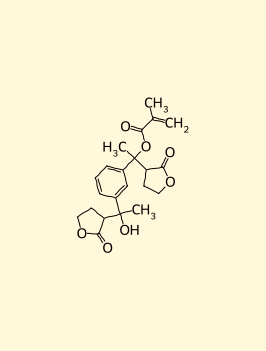 C=C(C)C(=O)OC(C)(c1cccc(C(C)(O)C2CCOC2=O)c1)C1CCOC1=O